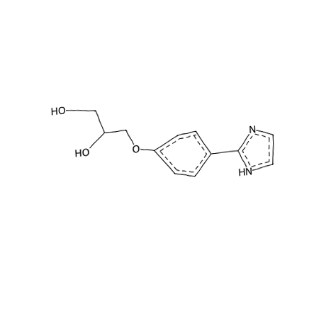 OCC(O)COc1ccc(-c2ncc[nH]2)cc1